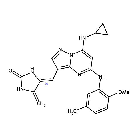 C=c1[nH]c(=O)[nH]/c1=C\c1cnn2c(NC3CC3)cc(Nc3cc(C)ccc3OC)nc12